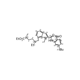 CCOC(=O)N(C)CCN(CC)Cc1cccc2cc(C(=O)Nc3cc(C(C)(C)C)cnc3OC)n(C)c12